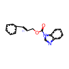 O=C(OC/C=C/c1ccccc1)n1cnc2ccccc21